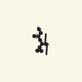 CCCCCCCCc1cc(-c2cc(-c3ccc(-c4cc(-c5cccc(-c6ccc(C)cc6)c5)nc(-c5ccccc5)n4)cc3)cc(-c3ccc4c5ccccc5c5ccccc5c4c3)c2)c(CCCCCCCC)cc1C